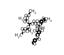 C=CCOC(=O)O[C@H](C)C(=O)OCC(COC(=O)O[C@H](C)OC(=O)[C@H](Cc1cccc(S(C)(=O)=O)c1)NC(=O)c1c(Cl)cc2c(c1Cl)CCN(C(=O)c1ccc3ccoc3c1)C2)COC(=O)[C@@H](C)OC(=O)OCC=C